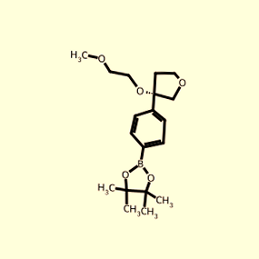 COCCO[C@]1(c2ccc(B3OC(C)(C)C(C)(C)O3)cc2)CCOC1